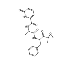 CC(NC(=O)c1cccc(=O)[nH]1)C(=O)NC(Cc1ccccc1)C(=O)C1(C)CO1